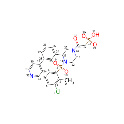 Cc1c(Cl)cccc1S(=O)(=O)N1CCN(C(=O)CS(=O)(=O)O)CC1c1cccc(-c2ccncc2)c1